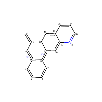 C=C/C=c1/cccc/c1=C1\C=c2ncccc2=CC1